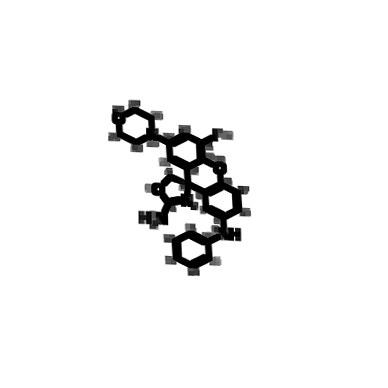 NC1=N[C@@]2(CO1)c1cc(Nc3ccccc3)ccc1Oc1c(F)cc(N3CCOCC3)cc12